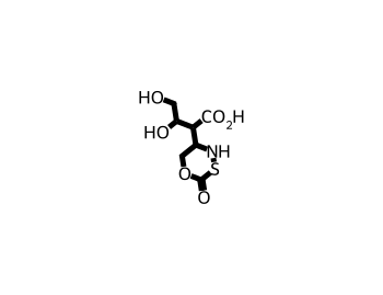 O=C1OCC(C(C(=O)O)C(O)CO)NS1